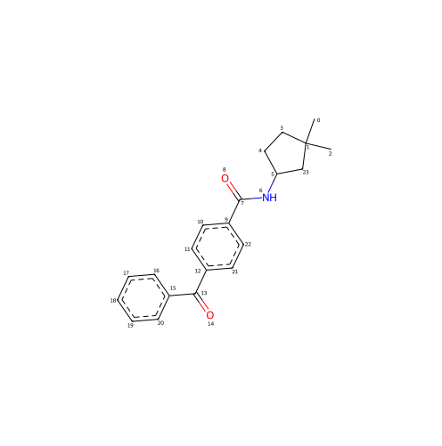 CC1(C)CCC(NC(=O)c2ccc(C(=O)c3ccccc3)cc2)C1